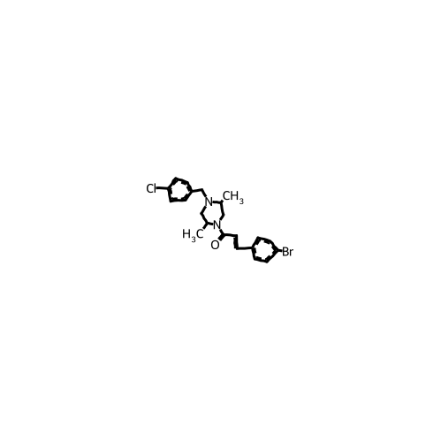 CC1CN(C(=O)C=Cc2ccc(Br)cc2)C(C)CN1Cc1ccc(Cl)cc1